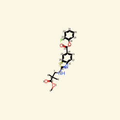 COC(=O)C(C)(C)CNc1nc2ccc(C(=O)Oc3ccccc3F)cc2s1